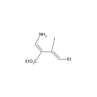 CC/C=C(I)/C(=C\N)C(=O)OCC